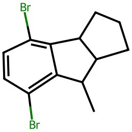 CC1c2c(Br)ccc(Br)c2C2CCCC12